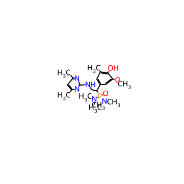 COc1cc(C(CNc2nc(C)cc(C)n2)P(=O)(N(C)C)N(C)C)cc(C)c1O